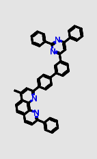 Cc1cc(-c2ccc(-c3cccc(-c4cc(-c5ccccc5)nc(-c5ccccc5)n4)c3)cc2)nc2c1ccc1ccc(-c3ccccc3)nc12